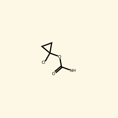 [NH]C(=O)OC1(Cl)CC1